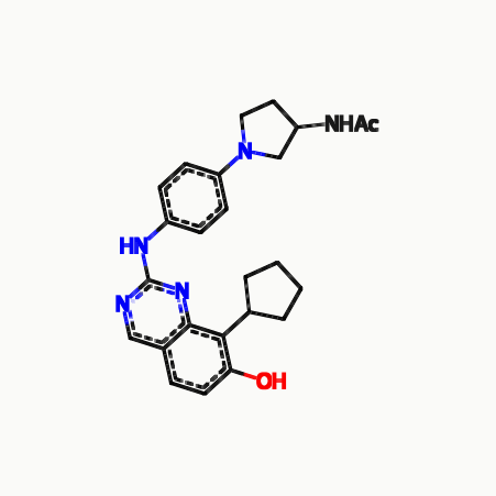 CC(=O)NC1CCN(c2ccc(Nc3ncc4ccc(O)c(C5CCCC5)c4n3)cc2)C1